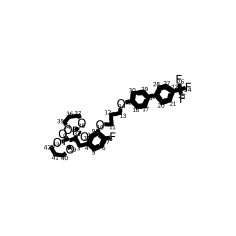 O=P1(C(Cc2ccc(F)c(OCCCOc3ccc(-c4ccc(C(F)(F)F)cc4)cc3)c2)P2(=O)OCCCO2)OCCCO1